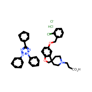 Cl.O=C(O)CCN1CCC2(CC1)COc1ccc(OCc3ccccc3Cl)cc12.[Cl-].c1ccc(-c2nn(-c3ccccc3)[n+](-c3ccccc3)n2)cc1